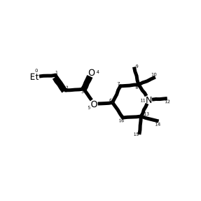 CCC=CC(=O)OC1CC(C)(C)N(C)C(C)(C)C1